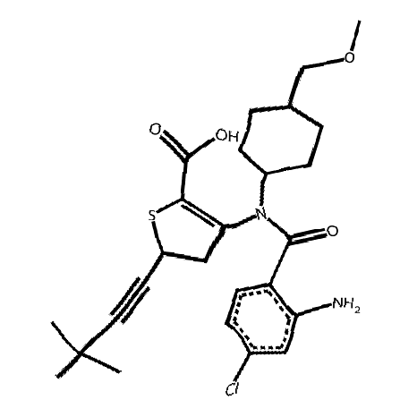 COCC1CCC(N(C(=O)c2ccc(Cl)cc2N)C2=C(C(=O)O)SC(C#CC(C)(C)C)C2)CC1